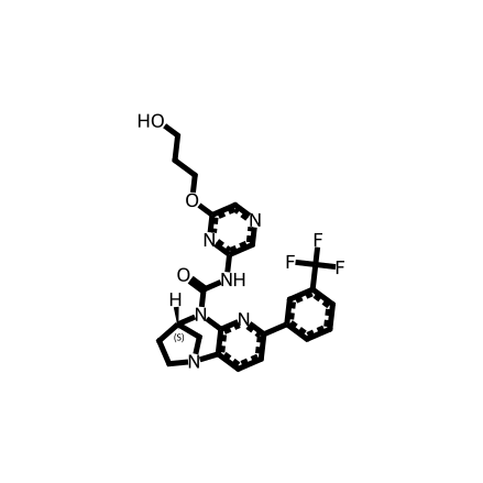 O=C(Nc1cncc(OCCCO)n1)N1c2nc(-c3cccc(C(F)(F)F)c3)ccc2N2CC[C@H]1C2